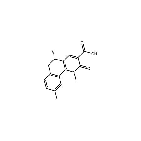 Cc1ccc2c(c1)-c1c(cc(C(=O)O)c(=O)n1C)[C@@H](C)C2